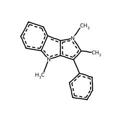 Cc1c(-c2ccccc2)c2c(c3ccccc3n2C)n1C